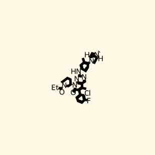 CCC(=O)N1CCC[C@H](n2c(=O)c(-c3cccc(F)c3Cl)c(C)c3cnc(Nc4ccc(N5C[C@@H]6C[C@H]5CN6C)c(C)c4)nc32)C1